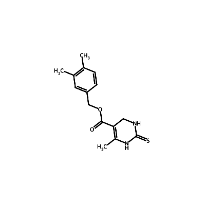 CC1=C(C(=O)OCc2ccc(C)c(C)c2)CNC(=S)N1